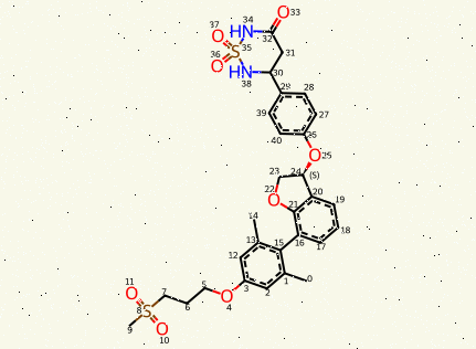 Cc1cc(OCCCS(C)(=O)=O)cc(C)c1-c1cccc2c1OC[C@H]2Oc1ccc(C2CC(=O)NS(=O)(=O)N2)cc1